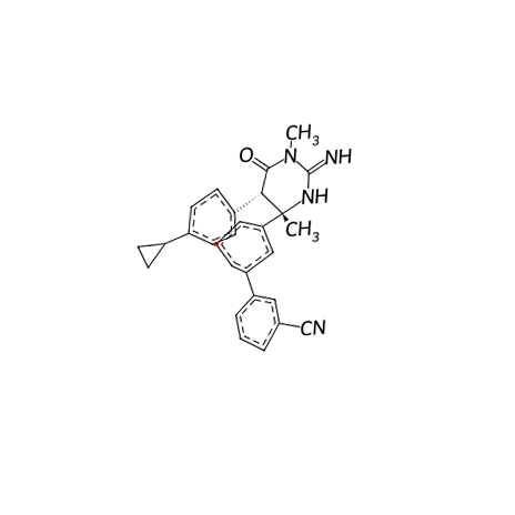 CN1C(=N)N[C@](C)(c2cccc(-c3cccc(C#N)c3)c2)[C@H](c2ccc(C3CC3)cc2)C1=O